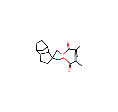 C=C(C)C(=O)OCC1(COC(=O)C(=C)C)CCC2C3CCC(C3)C21